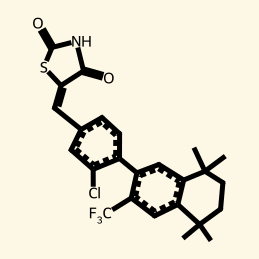 CC1(C)CCC(C)(C)c2cc(C(F)(F)F)c(-c3ccc(C=C4SC(=O)NC4=O)cc3Cl)cc21